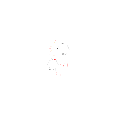 O=S(=O)(O)C1(S(=O)(=O)O)CC=CC=C1c1cccc(O)c1O